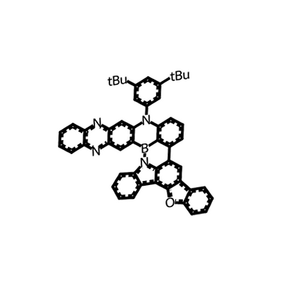 CC(C)(C)c1cc(N2c3cc4nc5ccccc5nc4cc3B3c4c(cccc42)-c2cc4c5ccccc5oc4c4c5ccccc5n3c24)cc(C(C)(C)C)c1